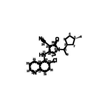 CC([C@H]1CC[C@H](C)C1)n1sc(Nc2c(Cl)ccc3ncccc23)c(C#N)c1=O